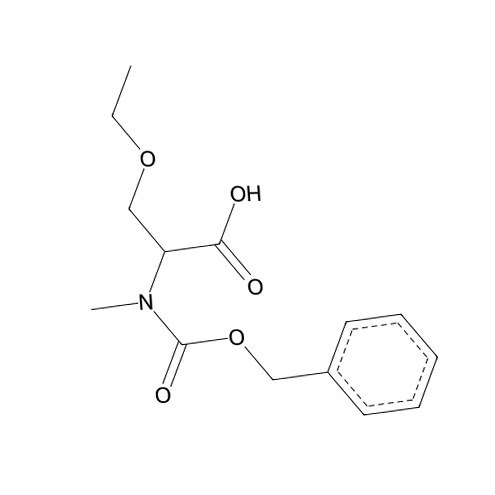 CCOCC(C(=O)O)N(C)C(=O)OCc1ccccc1